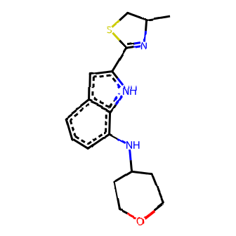 CC1CSC(c2cc3cccc(NC4CCOCC4)c3[nH]2)=N1